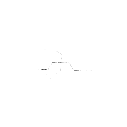 O=C(O)CCC(CCO)(CC(=O)O)CC(=O)O